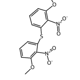 COc1cccc(Sc2cccc(OC)c2[N+](=O)[O-])c1[N+](=O)[O-]